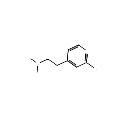 CN(C=O)CCc1ccnc(N)c1